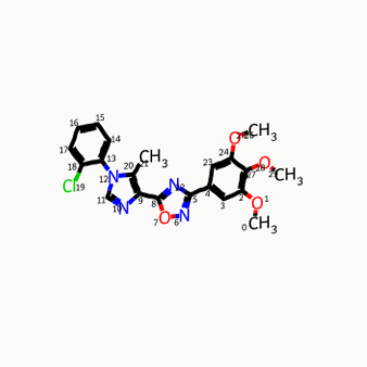 COc1cc(-c2noc(-c3ncn(-c4ccccc4Cl)c3C)n2)cc(OC)c1OC